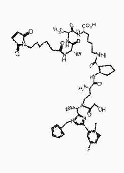 CC(C)[C@H](NC(=O)CCCCCN1C(=O)C=CC1=O)C(=O)N[C@@H](C)C(=O)N[C@@H](CCCCNC(=O)[C@H]1CCC[C@H]1NC(=O)[C@@H](N)CCN(C(=O)CO)[C@@H](c1nc(-c2cc(F)ccc2F)cn1Cc1ccccc1)C(C)(C)C)C(=O)O